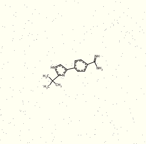 CC(C)(C)c1nc(-c2ccc(C(=N)N)cc2)c[nH]1